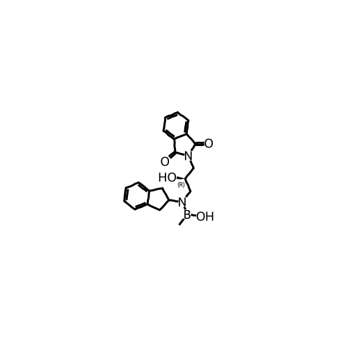 CB(O)N(C[C@@H](O)CN1C(=O)c2ccccc2C1=O)C1Cc2ccccc2C1